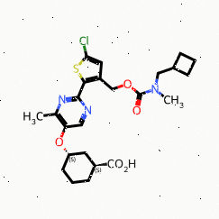 Cc1nc(-c2sc(Cl)cc2COC(=O)N(C)CC2CCC2)ncc1O[C@H]1CCC[C@H](C(=O)O)C1